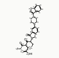 CCC(C(=O)C(CC(=O)O)C(=O)CF)N1Cc2ccc(N3CCN(c4nsc5ccccc45)CC3)cc2C1=O